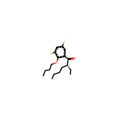 CCCCOc1c(F)cc(F)cc1C(=O)[C@@H](CC)CCCC